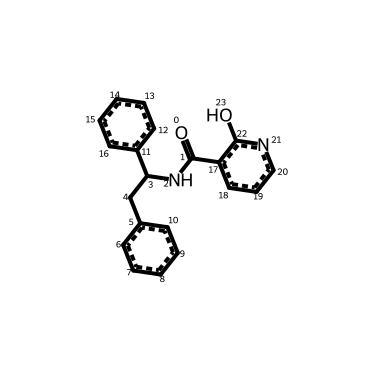 O=C(NC(Cc1ccccc1)c1ccccc1)c1cccnc1O